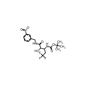 CC(C)(C)OC(=O)NC(CC(F)(F)F)C(O)C(=O)NCc1cccc([N+](=O)[O-])c1